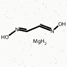 O/N=C/C=N/O.[MgH2]